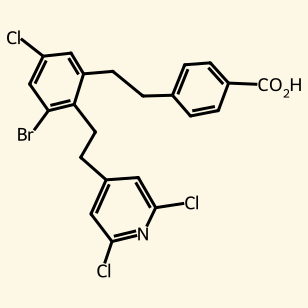 O=C(O)c1ccc(CCc2cc(Cl)cc(Br)c2CCc2cc(Cl)nc(Cl)c2)cc1